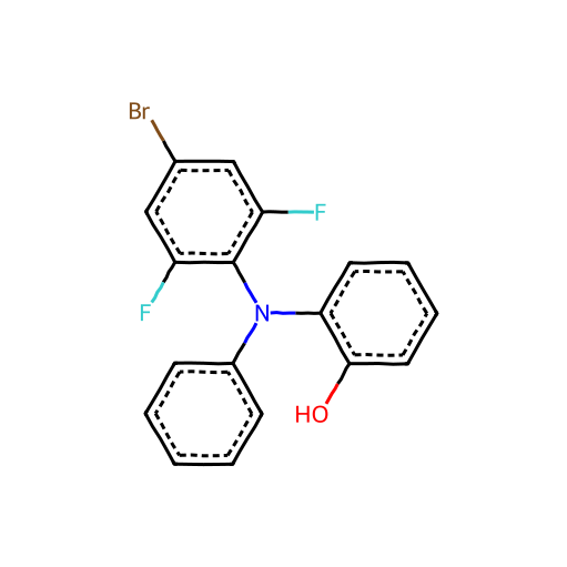 Oc1ccccc1N(c1ccccc1)c1c(F)cc(Br)cc1F